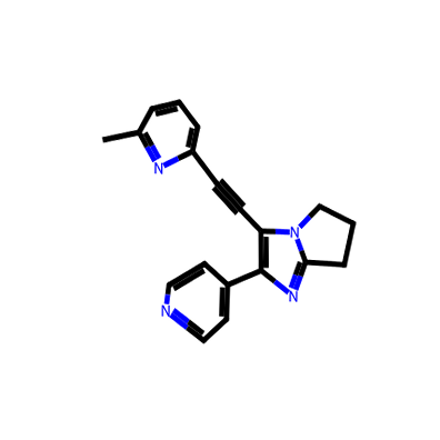 Cc1cccc(C#Cc2c(-c3ccncc3)nc3n2CCC3)n1